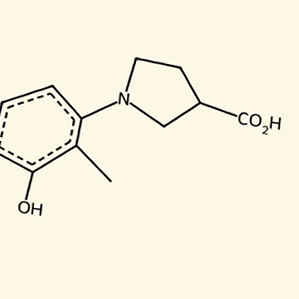 Cc1c(O)cccc1N1CCC(C(=O)O)C1